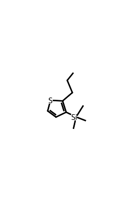 CCCc1sccc1[Si](C)(C)C